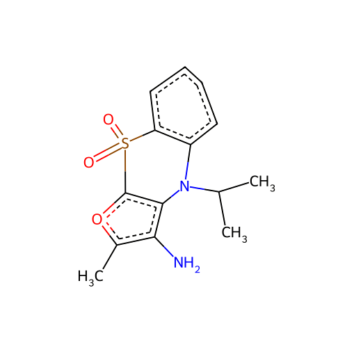 Cc1oc2c(c1N)N(C(C)C)c1ccccc1S2(=O)=O